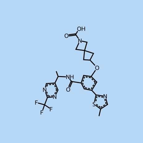 Cc1cnc(-c2cc(OC3CC4(C3)CN(C(=O)O)C4)cc(C(=O)NC(C)c3cnc(C(F)(F)F)nc3)c2)s1